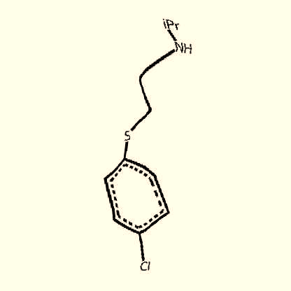 CC(C)NCCSc1ccc(Cl)cc1